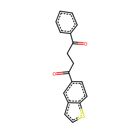 O=C(CCC(=O)c1ccc2sccc2c1)c1ccccc1